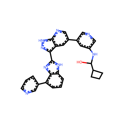 OC(Nc1cncc(-c2cnc3[nH]nc(-c4nc5c(-c6cccnc6)cccc5[nH]4)c3c2)c1)C1CCC1